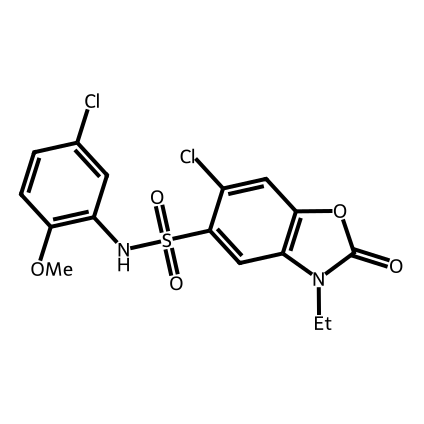 CCn1c(=O)oc2cc(Cl)c(S(=O)(=O)Nc3cc(Cl)ccc3OC)cc21